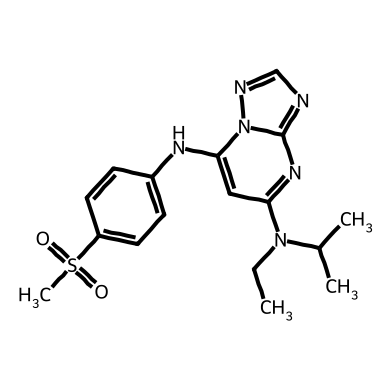 CCN(c1cc(Nc2ccc(S(C)(=O)=O)cc2)n2ncnc2n1)C(C)C